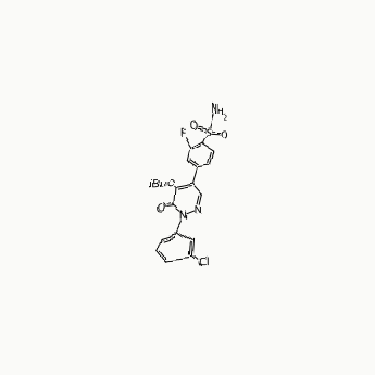 CC(C)COc1c(-c2ccc(S(N)(=O)=O)c(F)c2)cnn(-c2cccc(Cl)c2)c1=O